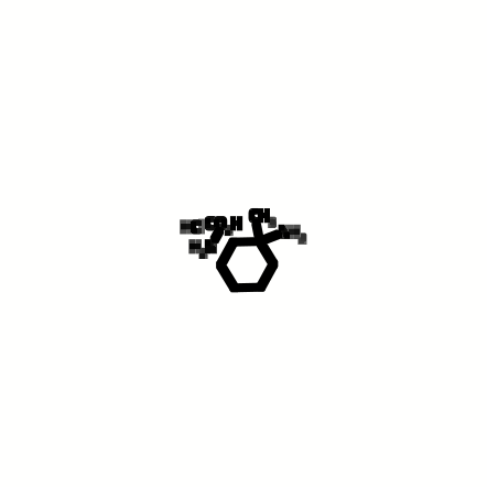 CC1(N)CCCCC1.Cl.NC(=O)O